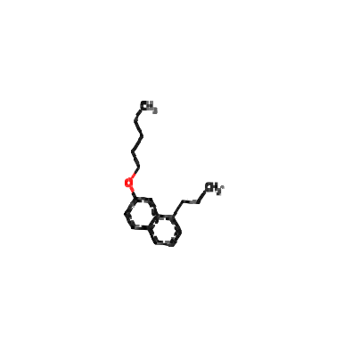 [CH2]CCc1cccc2ccc(OCCCCC)cc12